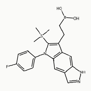 CS(C)(C)c1c(CCB(O)O)c2cc3[nH]ncc3cc2n1-c1ccc(F)cc1